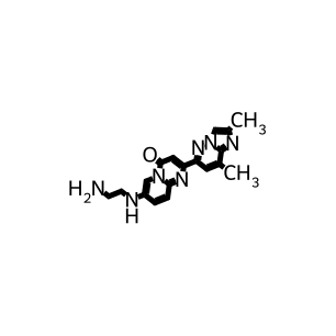 Cc1cn2nc(-c3cc(=O)n4cc(NCCN)ccc4n3)cc(C)c2n1